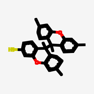 Cc1ccc2c(c1)Oc1cc(C)ccc1C2(C)C1(C)c2ccc(C)cc2Oc2cc(S)ccc21